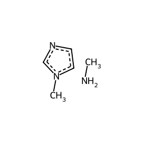 CN.Cn1ccnc1